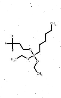 CCCCCC[Si](OCC)(OCC)OCCC(F)(F)F